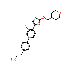 CCCc1ccc(-c2ccc(-c3ccc(OCC4CCOCC4)s3)c(F)c2)cc1